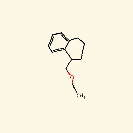 CCOCC1CCCc2ccccc21